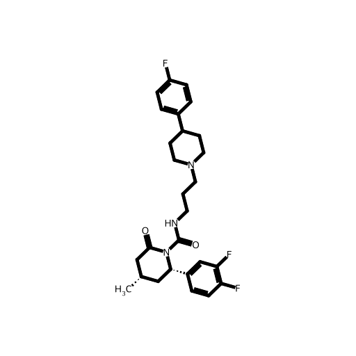 C[C@@H]1CC(=O)N(C(=O)NCCCN2CCC(c3ccc(F)cc3)CC2)[C@H](c2ccc(F)c(F)c2)C1